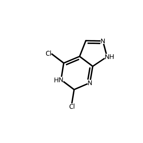 ClC1=c2cn[nH]c2=NC(Cl)N1